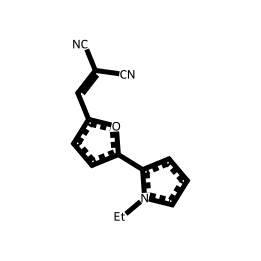 CCn1cccc1-c1ccc(C=C(C#N)C#N)o1